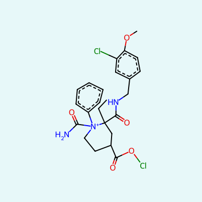 CCC1(C(=O)NCc2ccc(OC)c(Cl)c2)CC(C(=O)OCl)CC[N+]1(C(N)=O)c1ccccc1